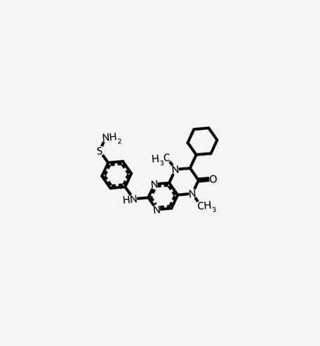 CN1C(=O)C(C2CCCCC2)N(C)c2nc(Nc3ccc(SN)cc3)ncc21